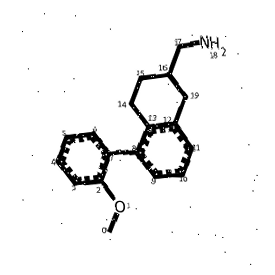 COc1ccccc1-c1cccc2c1CCC(CN)C2